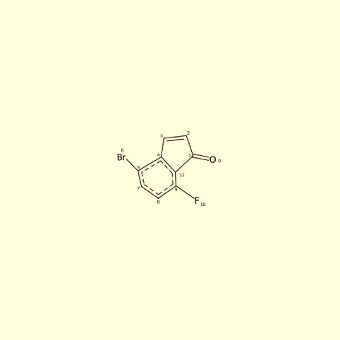 O=C1C=Cc2c(Br)ccc(F)c21